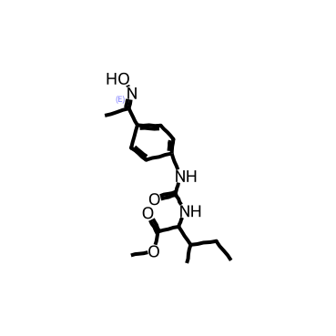 CCC(C)C(NC(=O)Nc1ccc(/C(C)=N/O)cc1)C(=O)OC